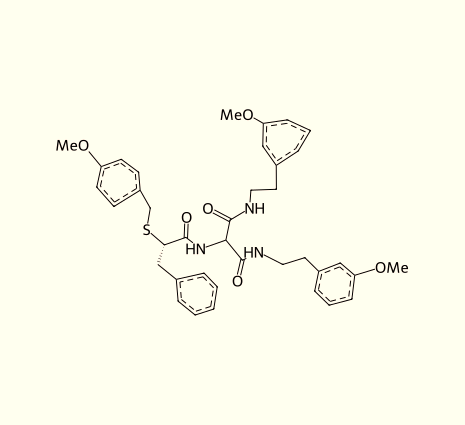 COc1ccc(CS[C@@H](Cc2ccccc2)C(=O)NC(C(=O)NCCc2cccc(OC)c2)C(=O)NCCc2cccc(OC)c2)cc1